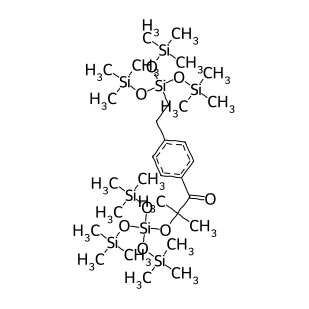 CC(C)(O[Si](O[Si](C)(C)C)(O[Si](C)(C)C)O[Si](C)(C)C)C(=O)c1ccc(CC[Si](O[Si](C)(C)C)(O[Si](C)(C)C)O[Si](C)(C)C)cc1